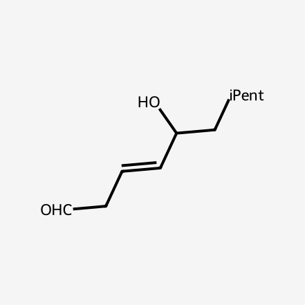 CCCC(C)CC(O)C=CCC=O